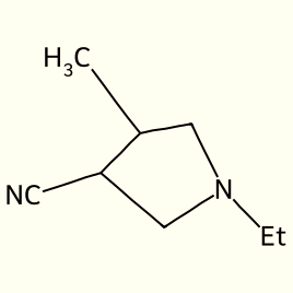 CCN1CC(C)C(C#N)C1